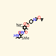 CSc1cc(C)[nH]c(=O)c1CNC(=O)c1cc(C#N)c2c(c1C)O[C@@H](C1CCC(N3CC(OC4CC4)C3)CC1)CO2